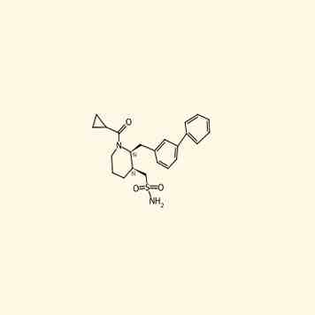 NS(=O)(=O)C[C@H]1CCCN(C(=O)C2CC2)[C@H]1Cc1cccc(-c2ccccc2)c1